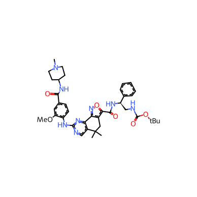 COc1cc(C(=O)NC2CCN(C)CC2)ccc1Nc1ncc2c(n1)-c1noc(C(=O)N[C@H](CNC(=O)OC(C)(C)C)c3ccccc3)c1CC2(C)C